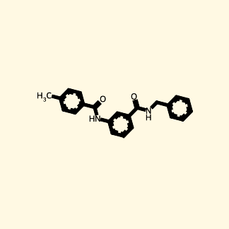 Cc1ccc(C(=O)Nc2c[c]cc(C(=O)NCc3ccccc3)c2)cc1